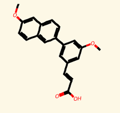 COc1cc(/C=C/C(=O)O)cc(-c2ccc3cc(OC)ccc3c2)c1